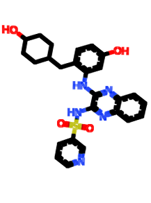 O=S(=O)(Nc1nc2ccccc2nc1Nc1cc(O)ccc1CC1CCC(O)CC1)c1cccnc1